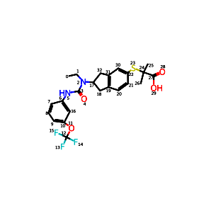 CCN(C(=O)Nc1cccc(OC(F)(F)F)c1)C1Cc2ccc(SC(C)(C)C(=O)O)cc2C1